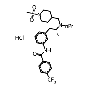 CCCN(CC1CCN(S(C)(=O)=O)CC1)[C@H](C)Cc1cccc(NC(=O)c2ccc(C(F)(F)F)cc2)c1.Cl